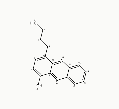 CCCCc1ccc(O)c2nc3ccccc3nc12